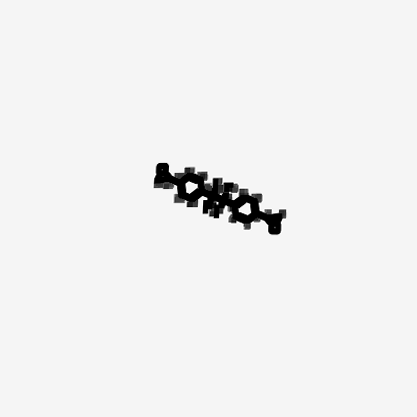 FC(F)(c1ccc(C2CO2)cc1)C(F)(F)c1ccc(C2CO2)cc1